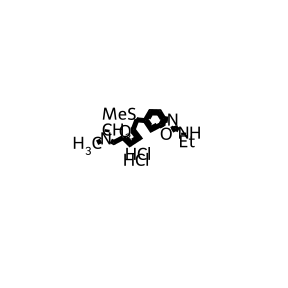 CCNc1nc2ccc(C(SC)c3ccc(CN(C)C)o3)cc2o1.Cl.Cl